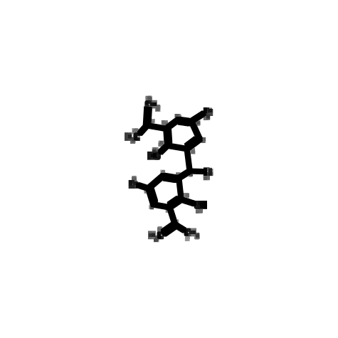 C=C(C)c1cc(CC)cc(C(CC)c2cc(CC)cc(C(=C)C)c2O)c1O